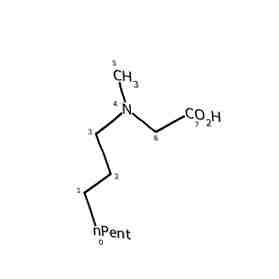 CCCCCCCCN(C)CC(=O)O